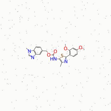 COc1ccc(-c2nc(C)c(NC(=O)OCc3ccc4c(c3)ncn4C)s2)c(OC)c1